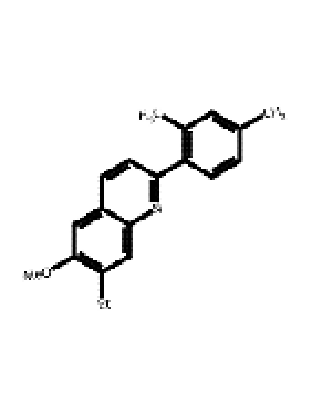 CCc1cc2nc(-c3ccc(C)cc3C)ccc2cc1OC